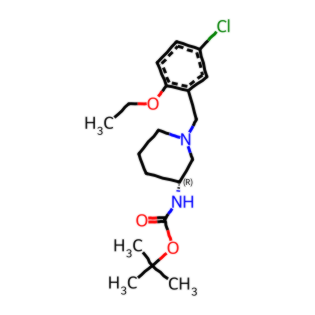 CCOc1ccc(Cl)cc1CN1CCC[C@@H](NC(=O)OC(C)(C)C)C1